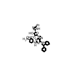 CC(C)c1nnc([C@H]2O[C@@H](n3cnc4c(NCC(c5ccccc5)c5ccccc5)nc(N[C@H]5CC[C@H](N)CC5)nc43)[C@H](OC=O)[C@@H]2O)[nH]1